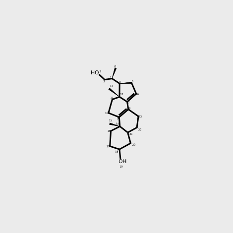 C[C@H](CO)[C@H]1CC=C2C3=C(CC[C@@]21C)[C@@]1(C)CCC(O)CC1CC3